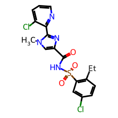 CCc1ccc(Cl)cc1S(=O)(=O)NC(=O)c1cn(C)c(-c2ncccc2Cl)n1